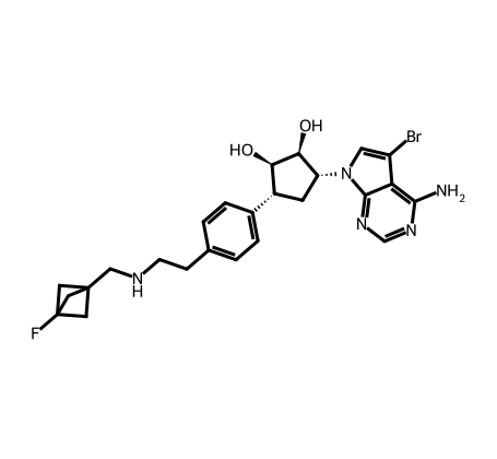 Nc1ncnc2c1c(Br)cn2[C@@H]1C[C@H](c2ccc(CCNCC34CC(F)(C3)C4)cc2)[C@@H](O)[C@H]1O